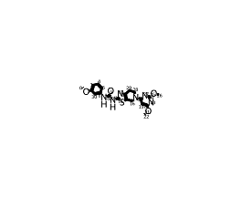 COc1cccc(NC(=O)Nc2nc3c(s2)CN(c2cc(OC)nc(OC)n2)CC3)c1